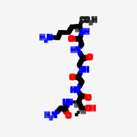 C[C@@H](O)[C@H](NC(=O)CN)C(=O)NCC(=O)NCC(=O)NCC(=O)N[C@@H](CCCCN)C(=O)O